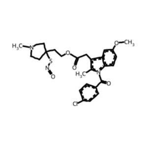 COc1ccc2c(c1)c(CC(=O)OCCC1(SN=O)CCN(C)CC1)c(C)n2C(=O)c1ccc(Cl)cc1